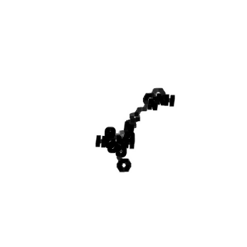 O=C(N[C@@H](CC(=O)N1CC2(CC(CCc3ccc4c(n3)NCCC4)C2)C1)C(=O)O)OCc1ccccc1